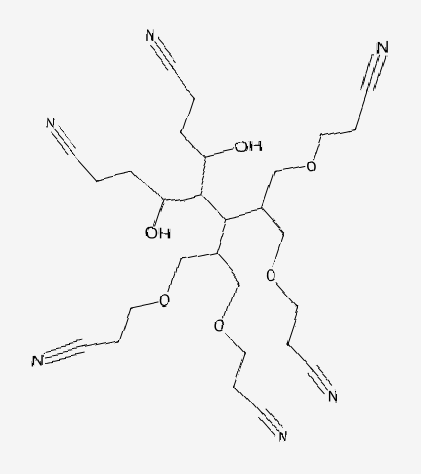 N#CCCOCC(COCCC#N)C(C(COCCC#N)COCCC#N)C(C(O)CCC#N)C(O)CCC#N